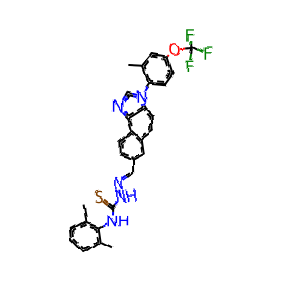 Cc1cc(OC(F)(F)F)ccc1-n1cnc2c3ccc(C=NNC(=S)Nc4c(C)cccc4C)cc3ccc21